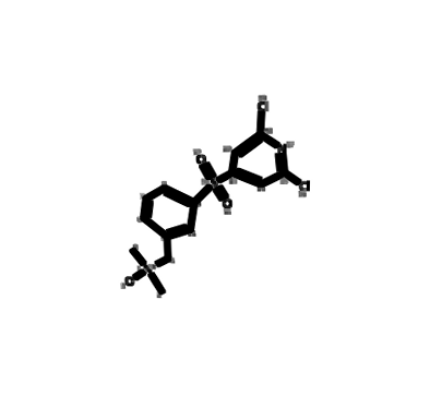 C[N+](C)([O-])Cc1cccc(S(=O)(=O)c2cc(Cl)nc(Cl)c2)c1